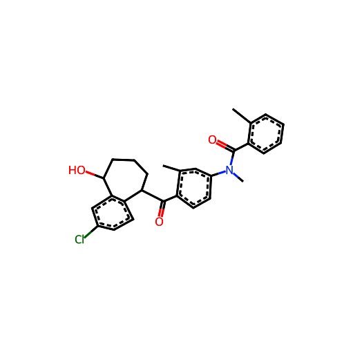 Cc1cc(N(C)C(=O)c2ccccc2C)ccc1C(=O)C1CCCC(O)c2cc(Cl)ccc21